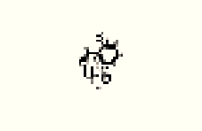 O.O.[B]c1ccccc1C=O